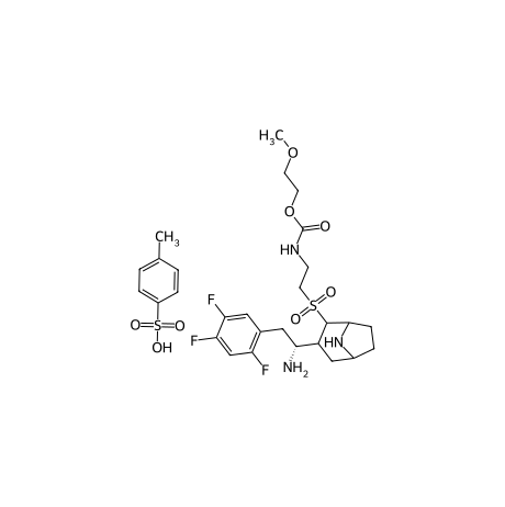 COCCOC(=O)NCCS(=O)(=O)C1C2CCC(CC1[C@H](N)Cc1cc(F)c(F)cc1F)N2.Cc1ccc(S(=O)(=O)O)cc1